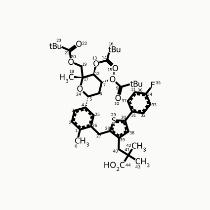 Cc1ccc([C@H]2C[C@@H](OC(=O)C(C)(C)C)[C@H](OC(=O)C(C)(C)C)[C@@](C)(COC(=O)C(C)(C)C)O2)cc1Cc1sc(-c2ccc(F)cc2)cc1CC(C)(C)C(=O)O